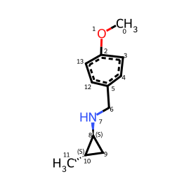 COc1ccc(CN[C@H]2C[C@@H]2C)cc1